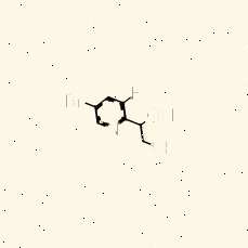 OC(CC(F)(F)F)c1ncc(Br)cc1F